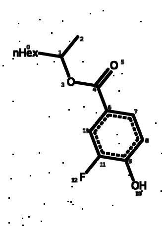 CCCCCCC(C)OC(=O)c1ccc(O)c(F)c1